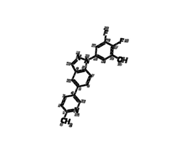 Cc1ccc(-c2ccc3c(cnn3-c3cc(O)c(F)c(F)c3)c2)cn1